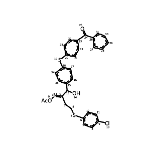 CC(=O)O/N=C(\CCSc1ccc(Cl)cc1)C(O)c1ccc(Sc2ccc(C(=O)c3ccccc3)cc2)cc1